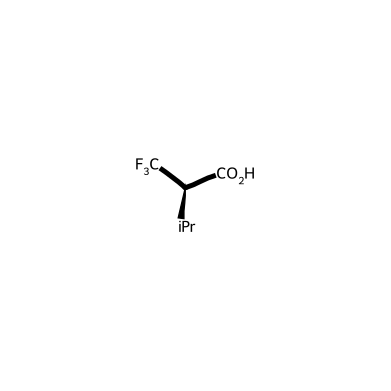 CC(C)[C@H](C(=O)O)C(F)(F)F